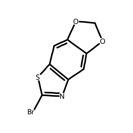 Brc1nc2cc3c(cc2s1)OCO3